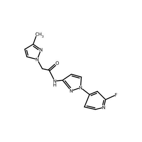 Cc1ccn(CC(=O)Nc2ccn(-c3ccnc(F)c3)n2)n1